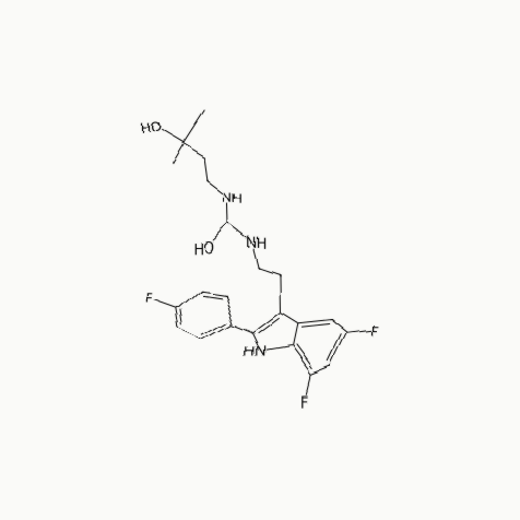 CC(C)(O)CCNC(O)NCCc1c(-c2ccc(F)cc2)[nH]c2c(F)cc(F)cc12